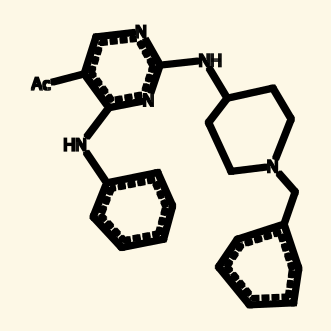 CC(=O)c1cnc(NC2CCN(Cc3ccccc3)CC2)nc1Nc1ccccc1